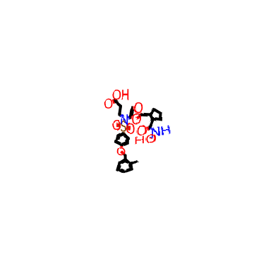 Cc1ccccc1COc1ccc(S(=O)(=O)N(CCC(=O)O)C2=COC(C3CCCC3C(=O)NO)O2)cc1